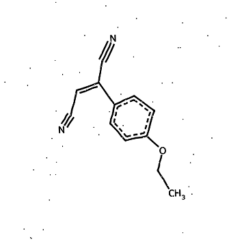 CCOc1ccc(/C(C#N)=C\C#N)cc1